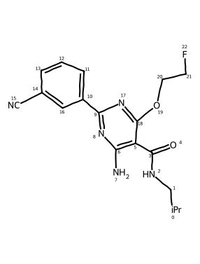 CC(C)CNC(=O)c1c(N)nc(-c2cccc(C#N)c2)nc1OCCF